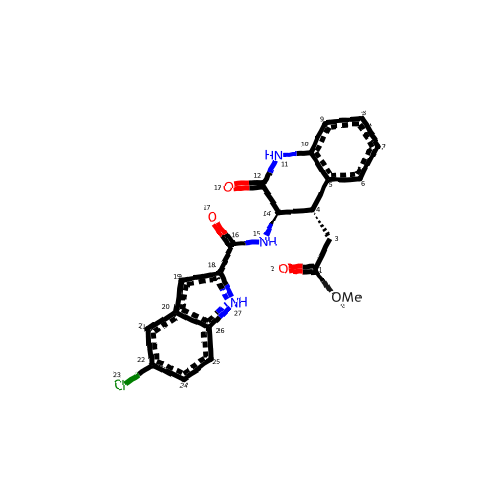 COC(=O)C[C@H]1c2ccccc2NC(=O)[C@@H]1NC(=O)c1cc2cc(Cl)ccc2[nH]1